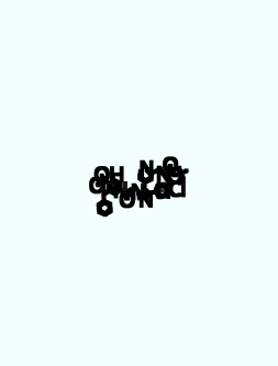 CC(C)(C)OC(=O)NCc1cc(-c2c(-c3ccc(Cl)cc3)ncn2CC(=O)N2CCN(C(=O)O)C(Cc3ccccc3)C2)ccn1